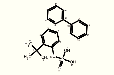 CC(C)(C)c1ccccc1OP(=O)(O)O.c1ccc(-c2ccccc2)cc1